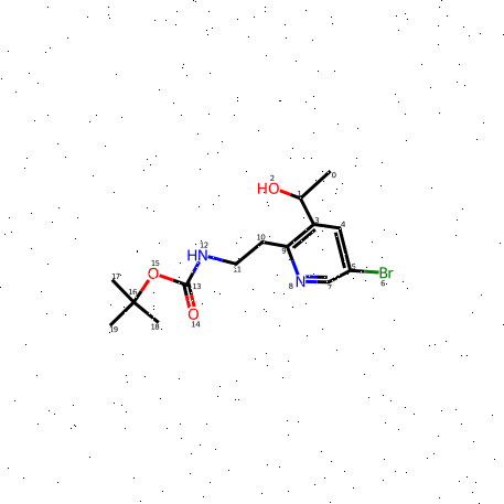 CC(O)c1cc(Br)cnc1CCNC(=O)OC(C)(C)C